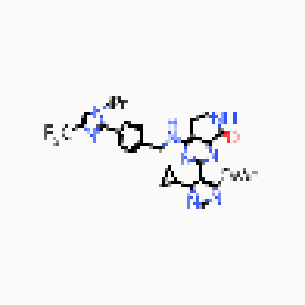 COc1ncnc(C2CC2)c1-c1nc(NCc2ccc(-c3nc(C(F)(F)F)cn3C(C)C)cc2)c2c(n1)C(=O)NCC2